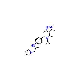 Cc1n[nH]c(C)c1C(C)N(Cc1ccc2[nH]c(CN3CCCC3)cc2c1)C1CC1